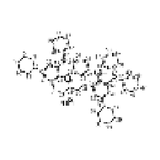 CCCC1Cc2cc(C3CCCCC3)cc(P(c3ccccc3)c3ccccc3)c2OC1CCc1cc(C2CCCCC2)cc(P(c2ccccc2)c2ccccc2)c1O